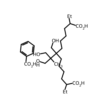 CCC(CCCCC(CO)(CCCCC(CC)C(=O)O)C(C)(CO)CO)C(=O)O.O=C(O)c1ccccc1